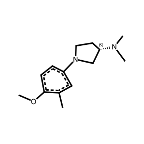 COc1ccc(N2CC[C@H](N(C)C)C2)cc1C